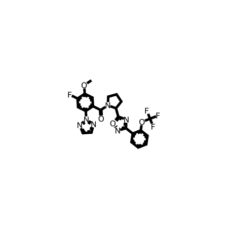 COc1cc(C(=O)N2CCCC2c2nc(-c3ccccc3OC(F)(F)F)no2)c(-n2nccn2)cc1F